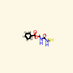 O=C(NS)NCOC(=O)c1ccccc1